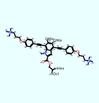 CCCCCCCCC(CCCCCC)COC(=O)c1cc2c(C#Cc3ccc(OCCC[N+](C)(C)C)cc3)c(OC)c(OC)c(C#Cc3ccc(OCCC[N+](C)(C)C)cc3)c2n1C